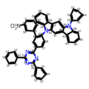 O=[N+]([O-])c1cccc(-c2cc(-c3nc(-c4ccccc4)nc(-c4ccccc4)n3)ccc2-n2c3ccccc3c3cc4c(cc32)c2ccccc2n4-c2ccccc2)c1